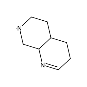 C1=NC2C[N]CCC2CC1